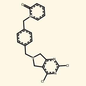 O=c1ccccn1Cc1ccc(CN2Cc3nc(Cl)nc(Cl)c3C2)cc1